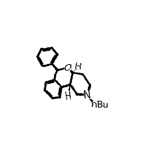 CCCCN1CC[C@@H]2OC(c3ccccc3)c3ccccc3[C@H]2C1